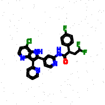 O=C(Nc1cc(-c2[nH]c3c(Cl)ccnc3c2-c2ccccn2)ccn1)C(CC(F)F)c1ccc(F)cc1